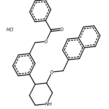 Cl.O=C(OCc1cccc(C2CCNCC2OCc2ccc3ccccc3c2)c1)c1ccccc1